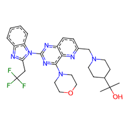 CC(C)(O)C1CCN(Cc2ccc3nc(-n4c(CC(F)(F)F)nc5ccccc54)nc(N4CCOCC4)c3n2)CC1